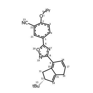 CC(C)Oc1ccc(-c2nc(C3=C4C[C@@H](C(C)(C)C)[C]=C4CC=C3)no2)cc1C#N